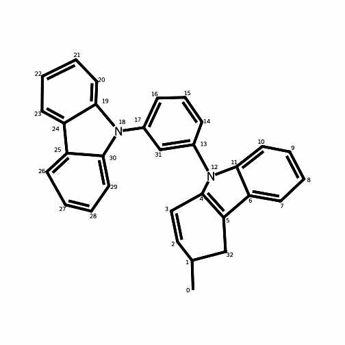 CC1C=Cc2c(c3ccccc3n2-c2cccc(-n3c4ccccc4c4ccccc43)c2)C1